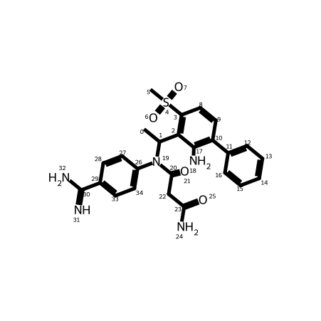 CC(c1c(S(C)(=O)=O)ccc(-c2ccccc2)c1N)N(C(=O)CC(N)=O)c1ccc(C(=N)N)cc1